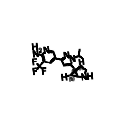 CC(C)n1nc(-c2cnc(N)c(C(F)(F)F)c2)cc1[C@]12C3NC[C@@H]1[C@H]32